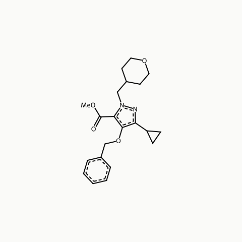 COC(=O)c1c(OCc2ccccc2)c(C2CC2)nn1CC1CCOCC1